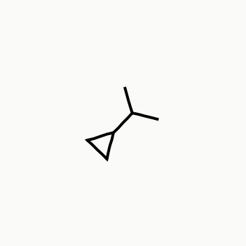 CC(C)C1CC1